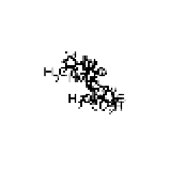 Cc1cccc(-c2noc(C(=O)c3sc(N(c4ccc(F)cc4)[C@@H](C)C(=O)O)nc3O)n2)c1C